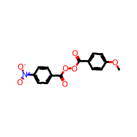 COc1ccc(C(=O)OOC(=O)c2ccc([N+](=O)[O-])cc2)cc1